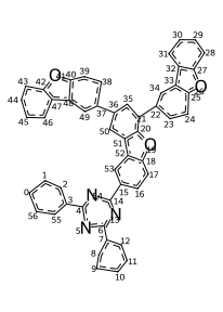 c1ccc(-c2nc(-c3ccccc3)nc(-c3ccc4oc5c(-c6ccc7oc8ccccc8c7c6)cc(-c6ccc7oc8ccccc8c7c6)cc5c4c3)n2)cc1